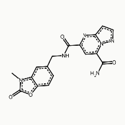 Cn1c(=O)oc2ccc(CNC(=O)c3cc(C(N)=O)n4nccc4n3)cc21